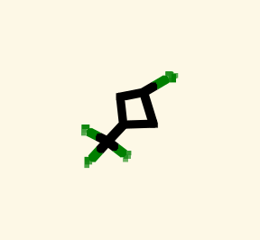 FC(F)(F)C1CC(Br)C1